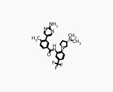 Cc1ccc(C(=O)Nc2cc(C(F)(F)F)ccc2N2CC[C@H](N(C)C)C2)cc1-c1cnc(N)nc1